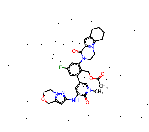 CC(=O)OCc1c(-c2cc(Nc3cc4n(n3)CCOC4)c(=O)n(C)c2)cc(F)cc1N1CCn2c(cc3c2CCCC3)C1=O